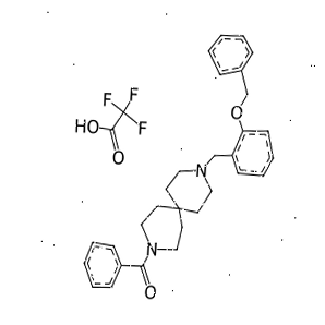 O=C(O)C(F)(F)F.O=C(c1ccccc1)N1CCC2(CCN(Cc3ccccc3OCc3ccccc3)CC2)CC1